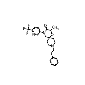 CC1OC2(CCN(CCc3ccccc3)CC2)CN(c2ccc(C(F)(F)F)nc2)C1=O